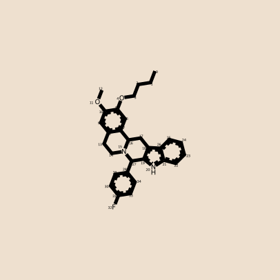 CCCCOc1cc2c(cc1OC)CCN1C2Cc2c([nH]c3ccccc23)C1c1ccc(F)cc1